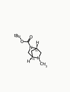 CN1C[C@@H]2C[C@H]1CN2C(=O)OC(C)(C)C